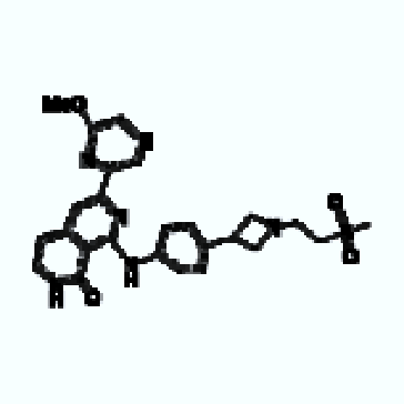 COc1cncc(-c2cc3cc[nH]c(=O)c3c(Nc3ccc(C4CN(CCS(C)(=O)=O)C4)cc3)n2)n1